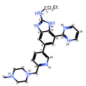 CCOC(=O)Nc1nc2cc(-c3ccc(CN4CCN(C)CC4)nc3)cc(-c3ncccn3)c2[nH]1